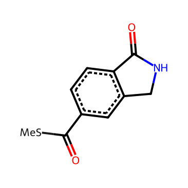 CSC(=O)c1ccc2c(c1)CNC2=O